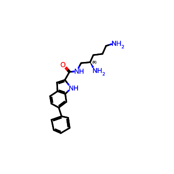 NCCC[C@@H](N)CNC(=O)c1cc2ccc(-c3ccccc3)cc2[nH]1